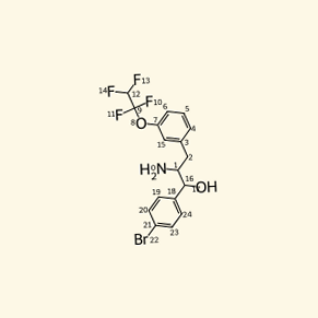 NC(Cc1cccc(OC(F)(F)C(F)F)c1)C(O)c1ccc(Br)cc1